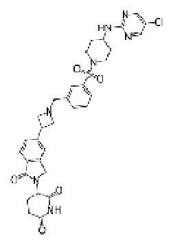 O=C1CCC(N2Cc3cc(C4CN(Cc5cccc(S(=O)(=O)N6CCC(Nc7ncc(Cl)cn7)CC6)c5)C4)ccc3C2=O)C(=O)N1